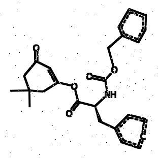 CC1(C)CC(=O)C=C(OC(=O)[C@H](Cc2ccccc2)NC(=O)OCc2ccccc2)C1